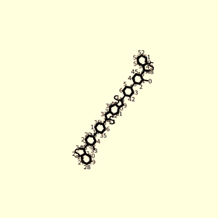 Cc1cc(-c2ccc(-c3cc4cc5sc(-c6ccc(-c7ccc(-c8csc9ccccc89)c(C)c7)cc6)cc5cc4s3)cc2)ccc1-c1csc2ccccc12